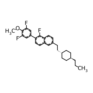 CCC[C@H]1CC[C@H](CCc2ccc3c(F)c(-c4cc(F)c(OC)c(F)c4)ccc3c2)CC1